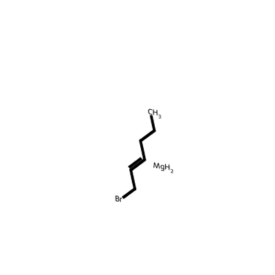 CCC/C=C/CBr.[MgH2]